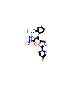 Cc1ccccc1[C@@H]1[C@@H](c2cnc(-c3ccc(F)cn3)s2)[C@]1(F)C(=O)NO